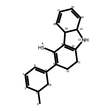 CC1C=CC=C(C2=C(S)C3=C(CC2)NC2C=CC=CC32)C1